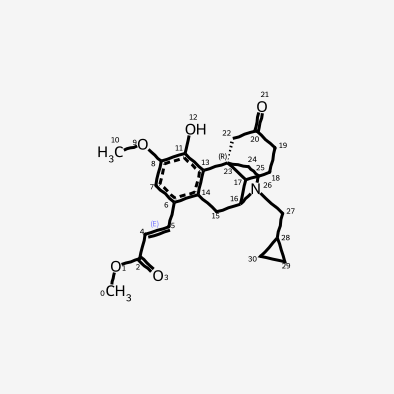 COC(=O)/C=C/c1cc(OC)c(O)c2c1CC1C3CCC(=O)C[C@@]23CCN1CC1CC1